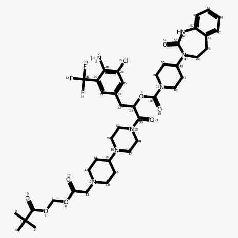 CC(C)(C)C(=O)OCOC(=O)CN1CCC(N2CCN(C(=O)C(Cc3cc(Cl)c(N)c(C(F)(F)F)c3)OC(=O)N3CCC(N4CCc5ccccc5NC4=O)CC3)CC2)CC1